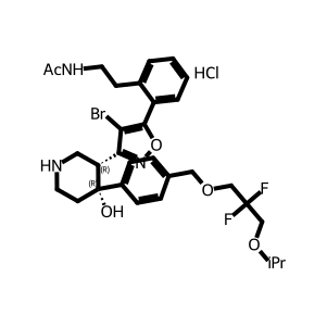 CC(=O)NCCc1ccccc1-c1onc([C@H]2CNCC[C@]2(O)c2ccc(COCC(F)(F)COC(C)C)cc2)c1Br.Cl